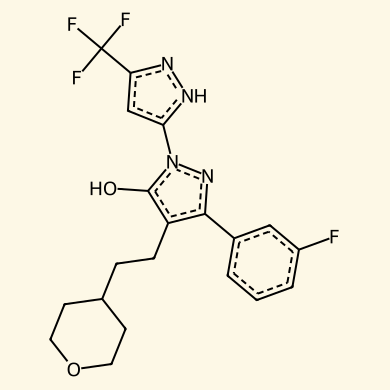 Oc1c(CCC2CCOCC2)c(-c2cccc(F)c2)nn1-c1cc(C(F)(F)F)n[nH]1